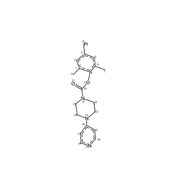 Cc1cc(C(C)C)cc(C)c1OC(=O)N1CCN(c2ccncc2)CC1